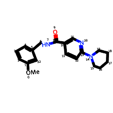 COc1cccc(CNC(=O)c2ccc(N3CCCCC3)nc2)c1